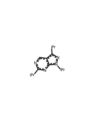 CC(C)c1ncc2c(C(C)C)nn(C(C)C)c2n1